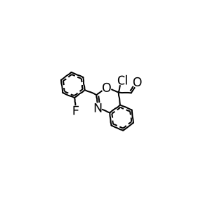 O=CC1(Cl)OC(c2ccccc2F)=Nc2ccccc21